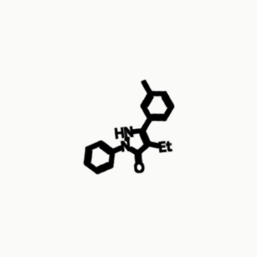 CCc1c(-c2cccc(C)c2)[nH]n(-c2ccccc2)c1=O